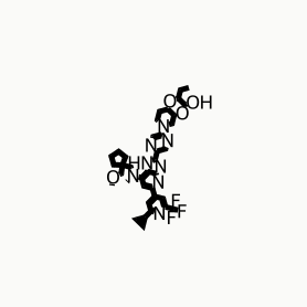 CCC(OC1CCN(c2cnc(-c3nc4nc(-c5cc(C6CC6)nc(C(F)(F)F)c5)cc(N(C)CC5(COC)CCCC5)c4[nH]3)cn2)CC1)C(=O)O